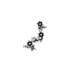 C[C@H](Cc1ccc(OCP(=O)(O)c2ccccc2)cc1)NC[C@H](O)COc1ccc(O)c(NS(C)(=O)=O)c1